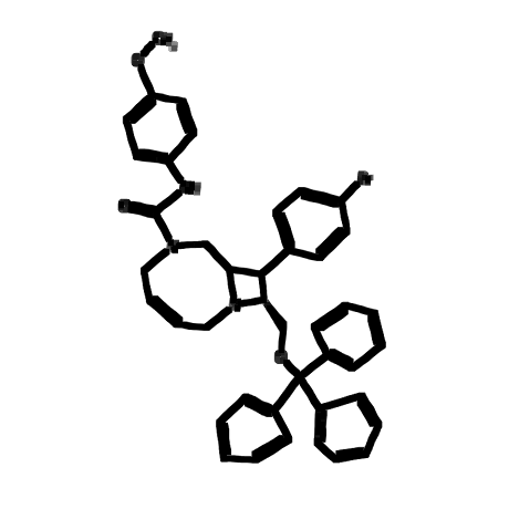 COc1ccc(NC(=O)N2CC=CCN3C(C2)C(c2ccc(Br)cc2)[C@H]3COC(c2ccccc2)(c2ccccc2)c2ccccc2)cc1